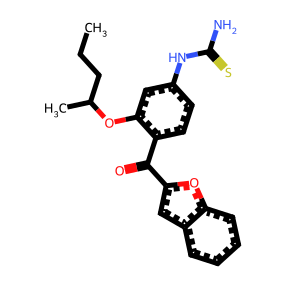 CCCC(C)Oc1cc(NC(N)=S)ccc1C(=O)c1cc2ccccc2o1